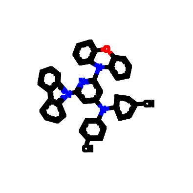 N#Cc1ccc(N(c2ccc(C#N)cc2)c2cc(N3c4ccccc4Oc4ccccc43)nc(-n3c4ccccc4c4ccccc43)c2)cc1